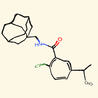 CC(C=O)c1ccc(Cl)c(C(=O)NCC23CC4CC(CC(C4)C2)C3)c1